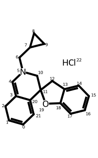 C1=CCC2=CN(CC3CC3)CC3(Cc4ccccc4O3)C2=C1.Cl